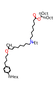 C=C(CCCCCCCN(CC)CCCCCCCC(=O)OC(CCCCCCCC)CCCCCCCC)OCCCCc1ccc(CCCCCC)cc1